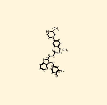 C[C@@H]1CN(c2ccc([C@H](C)NC(=O)CCc3nc4cccnc4n3Cc3ccc(F)c(F)c3)cc2)CCN1